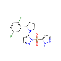 Cn1nccc1S(=O)(=O)n1nccc1N1CCCC1c1cc(F)ccc1F